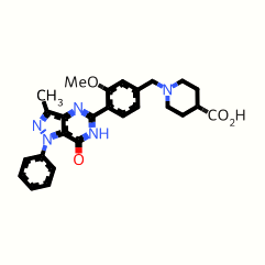 COc1cc(CN2CCC(C(=O)O)CC2)ccc1-c1nc2c(C)nn(-c3ccccc3)c2c(=O)[nH]1